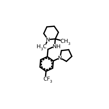 CN1CCCCC1(C)NCc1ccc(C(F)(F)F)cc1N1CCCC1